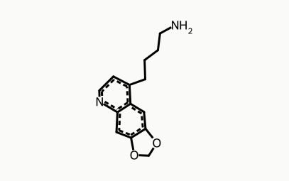 NCCCCc1ccnc2cc3c(cc12)OCO3